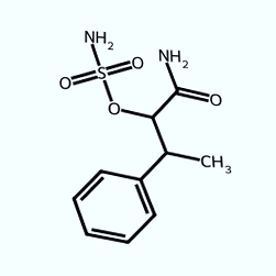 CC(c1ccccc1)C(OS(N)(=O)=O)C(N)=O